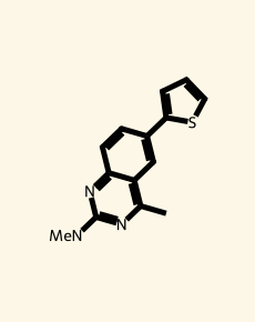 CNc1nc(C)c2cc(-c3cccs3)ccc2n1